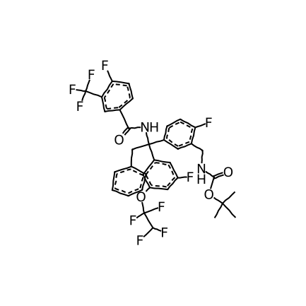 CC(C)(C)OC(=O)NCc1cc(C(Cc2ccccc2)(NC(=O)c2ccc(F)c(C(F)(F)F)c2)c2cc(F)cc(OC(F)(F)C(F)F)c2)ccc1F